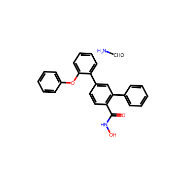 NC=O.O=C(NO)c1ccc(-c2ccccc2Oc2ccccc2)cc1-c1ccccc1